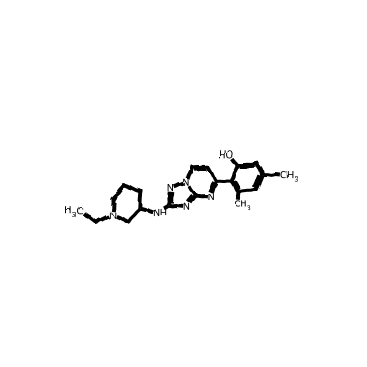 CCN1CCCC(Nc2nc3nc(-c4c(C)cc(C)cc4O)ccn3n2)C1